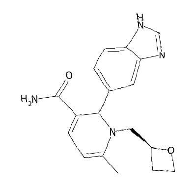 CC1=CC=C(C(N)=O)C(c2ccc3[nH]cnc3c2)N1C[C@@H]1CCO1